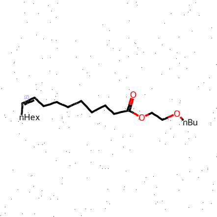 CCCCCC/C=C\CCCCCCCC(=O)OCCOCCCC